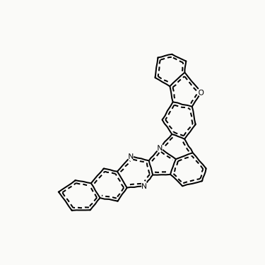 c1ccc2cc3nc4c(nc3cc2c1)c1cccc2c3cc5oc6ccccc6c5cc3n4c21